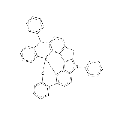 c1ccc(C2c3ccccc3C34Cc5ccccc5-c5ccc6c(c7c(n6-c6ccccc6)Cc6ccc2c3c6-7)c54)cc1